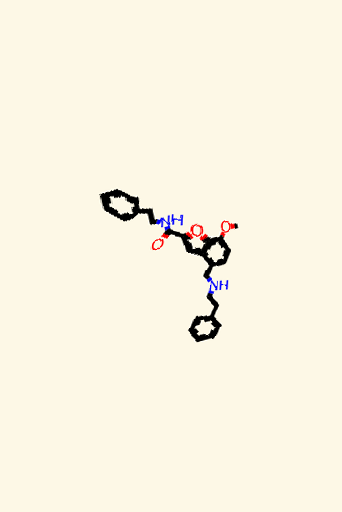 COc1ccc(CNCCc2ccccc2)c2cc(C(=O)NCCc3ccccc3)oc12